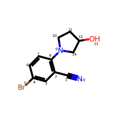 N#Cc1cc(Br)ccc1N1CCC(O)C1